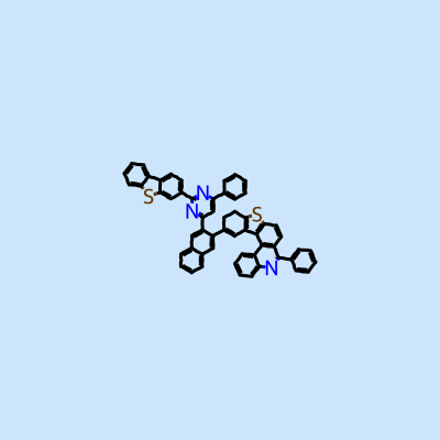 C1=C(c2cc3ccccc3cc2-c2cc(-c3ccccc3)nc(-c3ccc4c(c3)sc3ccccc34)n2)CCc2sc3ccc4c(-c5ccccc5)nc5ccccc5c4c3c21